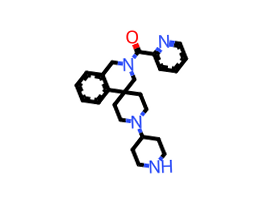 O=C(c1ccccn1)N1Cc2ccccc2C2(CCN(C3CCNCC3)CC2)C1